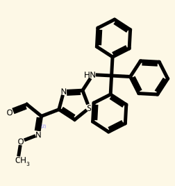 CO/N=C(\[C]=O)c1csc(NC(c2ccccc2)(c2ccccc2)c2ccccc2)n1